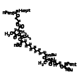 CCCCCCCC(CCCCC)OCCOC(=O)C(C)CC(C)C(=O)OC(C)OC(CCCC)CCCCCCCCCC(CCCC)OC(C)NC(=O)NCCOC(CCCC)CCCCC